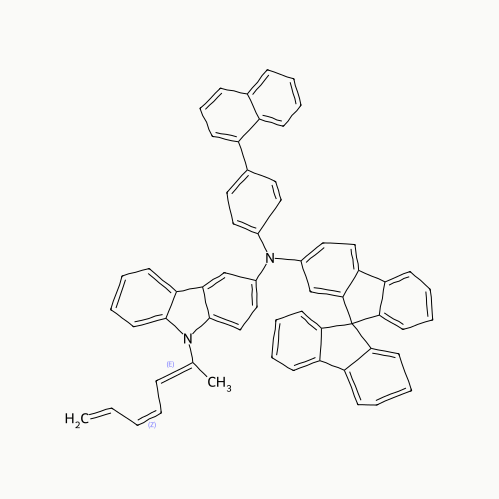 C=C/C=C\C=C(/C)n1c2ccccc2c2cc(N(c3ccc(-c4cccc5ccccc45)cc3)c3ccc4c(c3)C3(c5ccccc5-c5ccccc53)c3ccccc3-4)ccc21